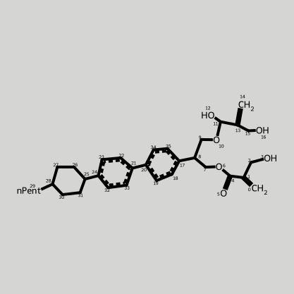 C=C(CO)C(=O)OCC(COC(O)C(=C)CO)c1ccc(-c2ccc(C3CCC(CCCCC)CC3)cc2)cc1